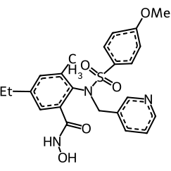 CCc1cc(C)c(N(Cc2cccnc2)S(=O)(=O)c2ccc(OC)cc2)c(C(=O)NO)c1